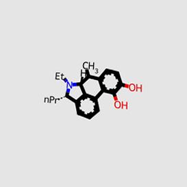 CCC[C@H]1c2cccc3c2[C@@H](C(C)c2ccc(O)c(O)c2-3)N1CC